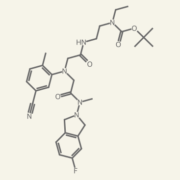 CCN(CCNC(=O)CN(CC(=O)N(C)N1Cc2ccc(F)cc2C1)c1cc(C#N)ccc1C)C(=O)OC(C)(C)C